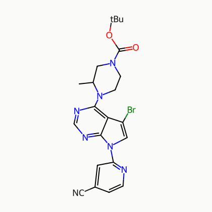 CC1CN(C(=O)OC(C)(C)C)CCN1c1ncnc2c1c(Br)cn2-c1cc(C#N)ccn1